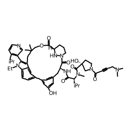 CCn1c(-c2cnccc2C(C)C)c2c3cc(ccc31)-c1cc(O)cc(c1)C[C@H](NC(=O)[C@H](C(C)C)N(C)C(=O)[C@@]1(O)CCN(C(=O)C#CCN(C)C)C1)C(=O)N1CCC[C@H](N1)C(=O)OCC(C)(C)C2